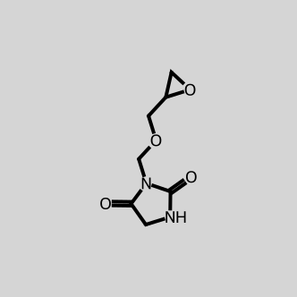 O=C1CNC(=O)N1COCC1CO1